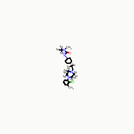 [2H]C([2H])([2H])N(C)C(=O)N[C@H]1CC[C@H](C([2H])([2H])CN2C([2H])([2H])C([2H])([2H])N(c3cccc(C)c3Cl)C([2H])([2H])C2([2H])[2H])CC1